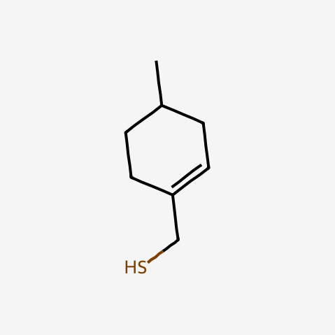 CC1CC=C(CS)CC1